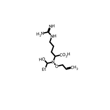 C=CCON(C(O)CC)C(CCCNC(=N)N)C(=O)O